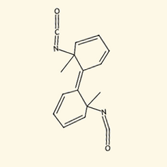 CC1(N=C=O)C=CC=C/C1=C1/C=CC=CC1(C)N=C=O